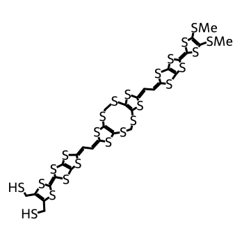 CSC1=C(SC)SC(=C2SC3=C(SC(=CC=C4SC5=C(SCSC6=C(SCS5)SC(=CC=C5SC7=C(S5)SC(=C5SC(CS)=C(CS)S5)S7)S6)S4)S3)S2)S1